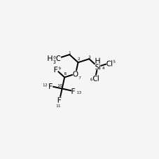 CCC(C[SiH](Cl)Cl)OC(F)C(F)(F)F